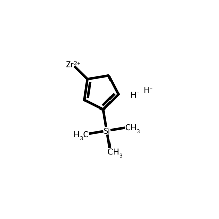 C[Si](C)(C)C1=CC[C]([Zr+2])=C1.[H-].[H-]